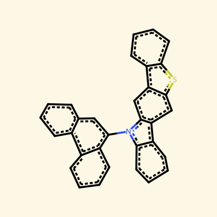 c1ccc2c(c1)cc(-n1c3ccccc3c3cc4sc5ccccc5c4cc31)c1ccccc12